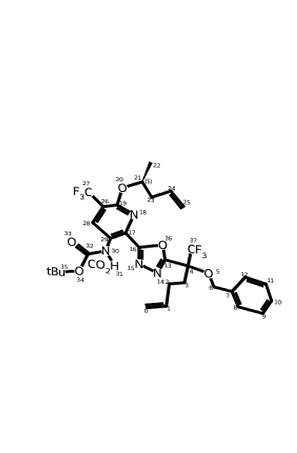 C=CCCC(OCc1ccccc1)(c1nnc(-c2nc(O[C@@H](C)CC=C)c(C(F)(F)F)cc2N(C(=O)O)C(=O)OC(C)(C)C)o1)C(F)(F)F